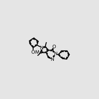 COc1ccccc1-n1c(C)c2cnn(-c3ccccc3)c(=O)c2c1C